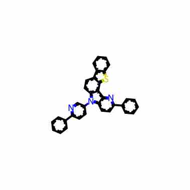 c1ccc(-c2ccc(-n3c4ccc(-c5ccccc5)nc4c4c5sc6ccccc6c5ccc43)cn2)cc1